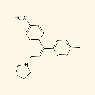 Cc1ccc(/C(=C/CN2CCCC2)c2ccc(C(=O)O)cc2)cc1